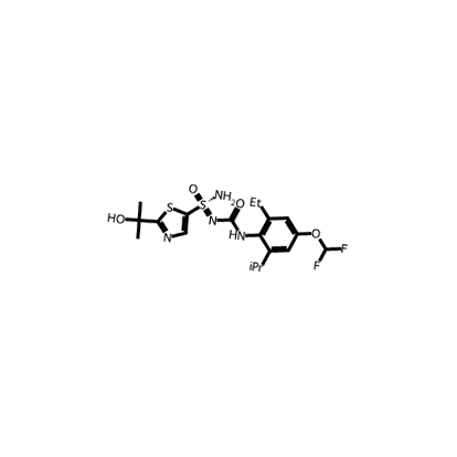 CCc1cc(OC(F)F)cc(C(C)C)c1NC(=O)N=[S@](N)(=O)c1cnc(C(C)(C)O)s1